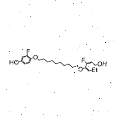 CC/C=C(OCCCCCCCCCCOc1ccc(O)cc1F)\C(F)=C/CO